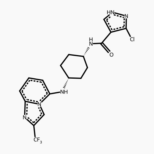 O=C(N[C@H]1CC[C@@H](Nc2cccc3nc(C(F)(F)F)cn23)CC1)c1c[nH]nc1Cl